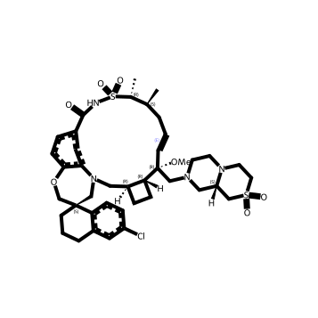 CO[C@@]1(CN2CCN3CCS(=O)(=O)C[C@@H]3C2)/C=C/C[C@H](C)[C@@H](C)S(=O)(=O)NC(=O)c2ccc3c(c2)N(C[C@@H]2CC[C@H]21)C[C@@]1(CCCc2cc(Cl)ccc21)CO3